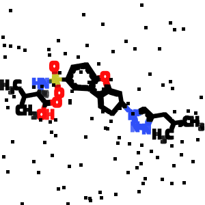 CC(C)Cc1cn(C2C=c3oc4ccc(S(=O)(=O)N[C@@H](C(=O)O)C(C)C)cc4c3=CC2)nn1